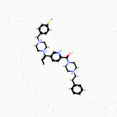 C/C=C(\c1ccc(C(=O)N2CCN(CCc3ccccc3)CC2)nc1)N1CCN(Cc2ccc(F)cc2)CC1